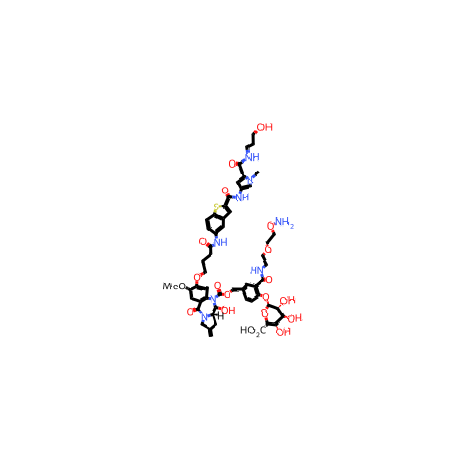 C=C1C[C@H]2C(O)N(C(=O)OCc3ccc(O[C@@H]4O[C@H](C(=O)O)[C@@H](O)[C@H](O)[C@H]4O)c(C(=O)NCCOCCON)c3)c3cc(OCCCC(=O)Nc4ccc5sc(C(=O)Nc6cc(C(=O)NCCCO)n(C)c6)cc5c4)c(OC)cc3C(=O)N2C1